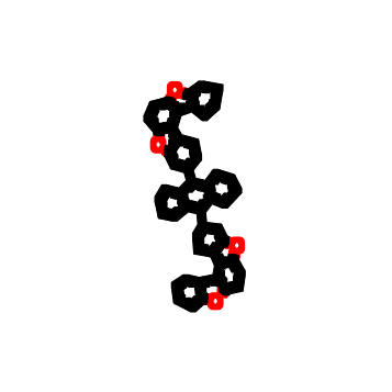 c1ccc2c(c1)oc1ccc3oc4cc(-c5c6ccccc6c(-c6ccc7c(c6)oc6ccc8oc9ccccc9c8c67)c6ccccc56)ccc4c3c12